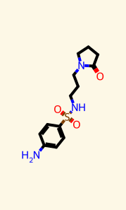 Nc1ccc(S(=O)(=O)NCCCN2CCCC2=O)cc1